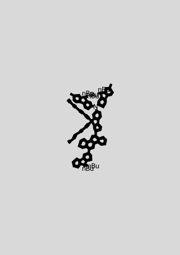 C#CC#CC#CC#CC1(C#CC#CC#CC#C)c2cc(-c3cc4c5ccccc5c(-c5ccc6c(c5)-c5ccccc5C6(CCCC)CCCC)cc4c4ccccc34)ccc2-c2ccc(N(c3ccc4c(c3)C(CCCC)(CCCC)c3cc(C)ccc3-4)c3ccc4c(c3)C(CCCC)(CCCC)c3cc(C)ccc3-4)cc21